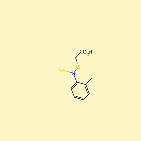 Cc1ccccc1N(S)SCC(=O)O